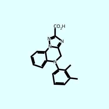 Cc1cccc(N2Cc3nc(C(=O)O)nn3-c3ccccc32)c1C